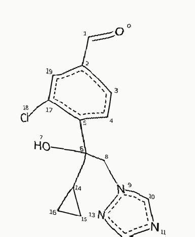 O=Cc1ccc(C(O)(Cn2cncn2)C2CC2)c(Cl)c1